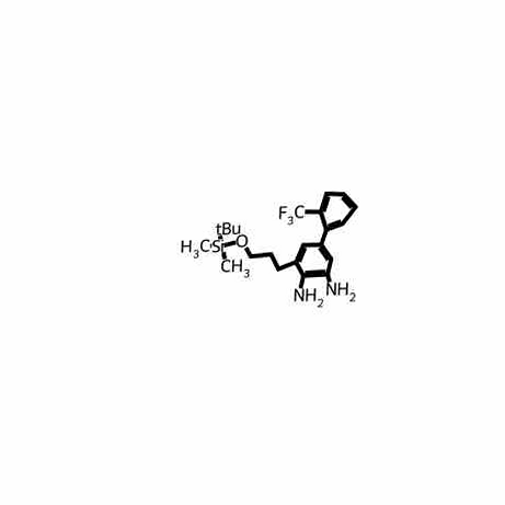 CC(C)(C)[Si](C)(C)OCCCc1cc(-c2ccccc2C(F)(F)F)cc(N)c1N